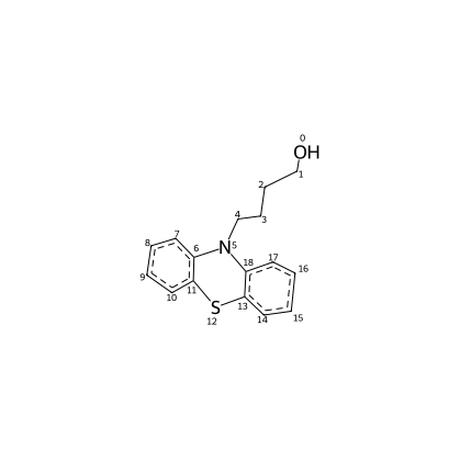 OCCCCN1c2ccccc2Sc2ccccc21